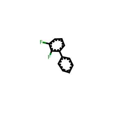 Fc1cccc(-c2cc[c]cc2)c1F